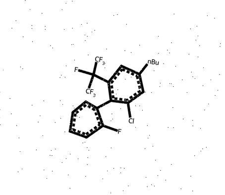 CCCCc1[c]c(Cl)c(-c2ccccc2F)c(C(F)(C(F)(F)F)C(F)(F)F)c1